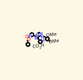 COc1ccc(CNc2nccn3c(C4CCCN(C(=O)OCc5ccccc5)C4)nc(-c4ccc(C(=O)O)cc4)c23)c(OC)c1